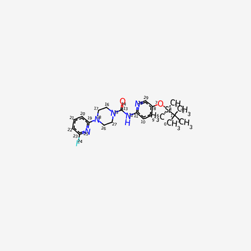 CC(C)(C)[Si](C)(C)Oc1ccc(NC(=O)N2CCN(c3cccc(F)n3)CC2)nc1